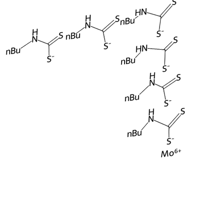 CCCCNC(=S)[S-].CCCCNC(=S)[S-].CCCCNC(=S)[S-].CCCCNC(=S)[S-].CCCCNC(=S)[S-].CCCCNC(=S)[S-].[Mo+6]